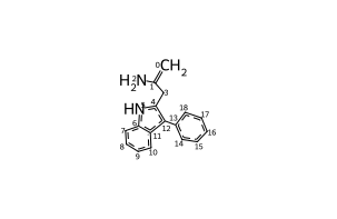 C=C(N)Cc1[nH]c2ccccc2c1-c1ccccc1